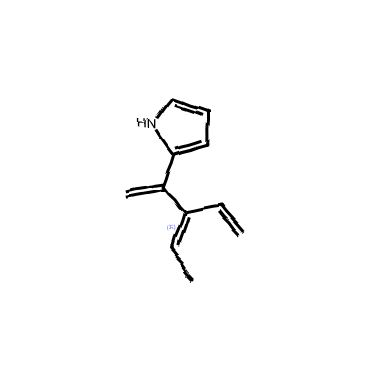 C=C/C(=C\C)C(=C)c1ccc[nH]1